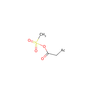 CC(=O)CC(=O)OS(C)(=O)=O